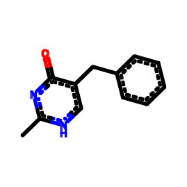 Cc1nc(=O)c(Cc2ccccc2)c[nH]1